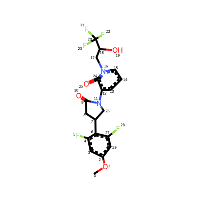 COc1cc(F)c(C2CC(=O)N(c3cccn(CC(O)C(F)(F)F)c3=O)C2)c(F)c1